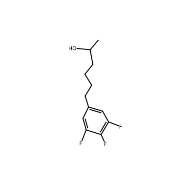 [CH2]C(O)CCCCc1cc(F)c(F)c(F)c1